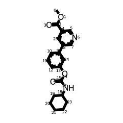 COC(=O)c1cncc(-c2cccc(OC(=O)NC3CCCCC3)c2)c1